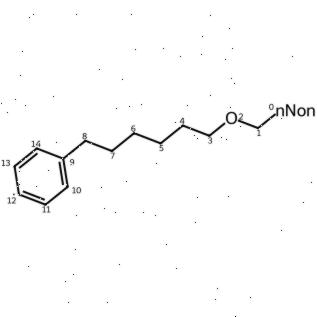 CCCCCCCCCCOCCCCCCc1cc[c]cc1